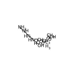 CC(CCC[C@@H](C)[C@H]1CCC2C3C(CC[C@@]21C)[C@@]1(C)CC[C@H](NCCCNCCCCNCCCN)C[C@@H]1C[C@H]3O)C(=O)O